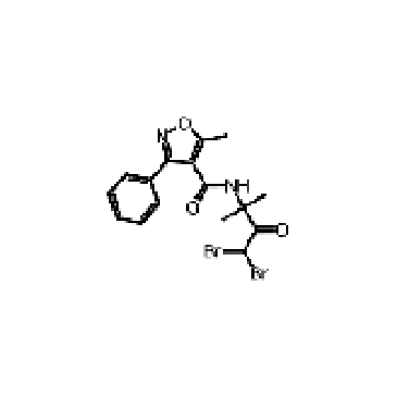 Cc1onc(-c2ccccc2)c1C(=O)NC(C)(C)C(=O)C(Br)Br